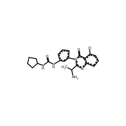 CC(N)c1nc2cccc(Cl)c2c(=O)n1-c1cccc(NC(=O)NC2CCCC2)c1